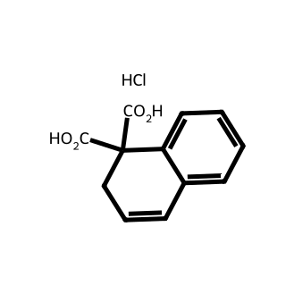 Cl.O=C(O)C1(C(=O)O)CC=Cc2ccccc21